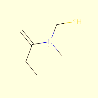 C=C(CC)N(C)CS